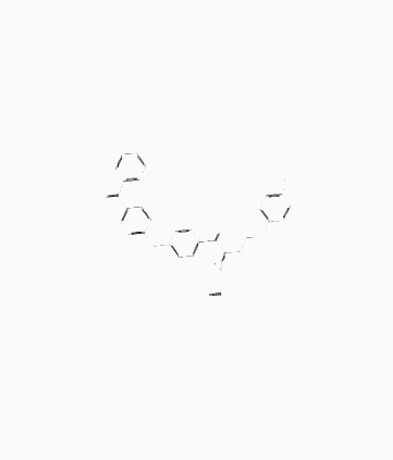 CC(=O)O/N=C(\CCSc1ccc(Cl)cc1)C(=O)c1ccc(Cc2ccc(C(=O)c3ccccc3)cc2)cc1